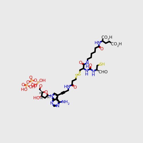 Nc1ncnc2c1c(C#CCNC(=O)CCSSCC(NC(=O)N[C@H](C=O)CS)C(=O)NCCCCCC(=O)NC(CCC(=O)O)C(=O)O)cn2[C@H]1C[C@@H](O)[C@@H](COP(=O)(O)OP(=O)(O)OP(=O)(O)O)O1